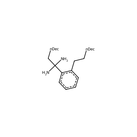 CCCCCCCCCCCCc1ccccc1C(N)(N)CCCCCCCCCCC